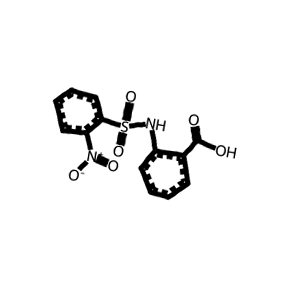 O=C(O)c1ccccc1NS(=O)(=O)c1ccccc1[N+](=O)[O-]